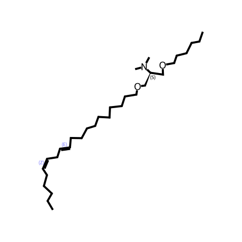 CCCCC/C=C\C/C=C/CCCCCCCCCCOC[C@H](COCCCCCC)N(C)C